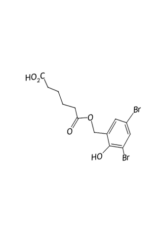 O=C(O)CCCCC(=O)OCc1cc(Br)cc(Br)c1O